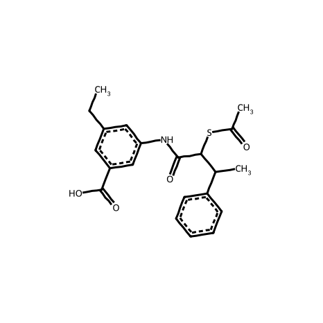 CCc1cc(NC(=O)C(SC(C)=O)C(C)c2ccccc2)cc(C(=O)O)c1